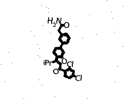 CC(C)c1c(C(=O)c2ccc(Cl)cc2Cl)oc2cc(-c3cccc(CC(N)=O)c3)ccc12